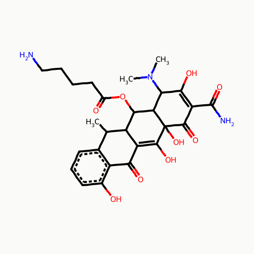 CC1c2cccc(O)c2C(=O)C2=C(O)C3(O)C(=O)C(C(N)=O)=C(O)C(N(C)C)C3C(OC(=O)CCCCN)C21